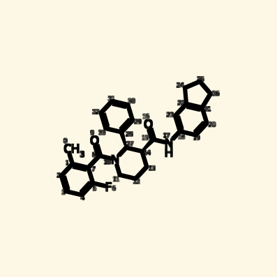 Cc1cccc(F)c1C(=O)N1CCC[C@H](C(=O)Nc2ccc3c(c2)CCC3)[C@@H]1c1ccccc1